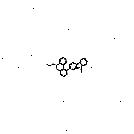 CCCC1Cc2cccc(-c3ccc4c5ccccc5n(C)c4c3)c2-c2ccccc21